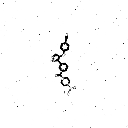 C[S+]([O-])N1CCN(C(=O)c2cccc(-c3[nH]ncc3Oc3ccc(C#N)cc3)c2)CC1